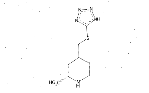 O=C(O)[C@@H]1CC(CSc2nnn[nH]2)CCN1